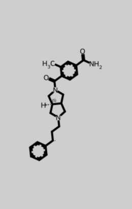 Cc1cc(C(N)=O)ccc1C(=O)N1CC2CN(CC[CH]c3ccccc3)C[C@H]2C1